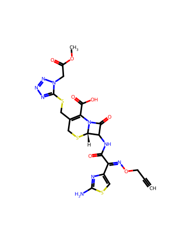 C#CCON=C(C(=O)NC1C(=O)N2C(C(=O)O)=C(CSc3nnnn3CC(=O)OC)CS[C@@H]12)c1csc(N)n1